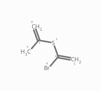 C=C(C)SC(=C)Br